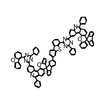 c1ccc(-c2nc(-c3ccc4nc(-c5ccccc5)c5ccc6c(c5c4c3)Oc3ccccc3C63c4ccccc4-c4ccccc43)nc(-c3cccc4c3sc3cc(-c5ccc6c(c5)C5(c7ccccc7Oc7c5ccc5c(-c8ccccc8)nc8ccc(-c9nc(-c%10ccccc%10)nc(-c%10cccc%11oc%12ccccc%12c%10%11)n9)cc8c75)c5ccccc5-6)ccc34)n2)cc1